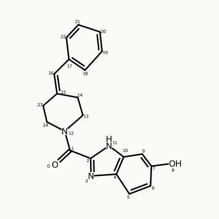 O=C(c1nc2ccc(O)cc2[nH]1)N1CCC(=Cc2ccccc2)CC1